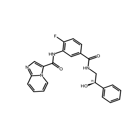 O=C(NC[C@H](O)c1ccccc1)c1ccc(F)c(NC(=O)c2cnc3ccccn23)c1